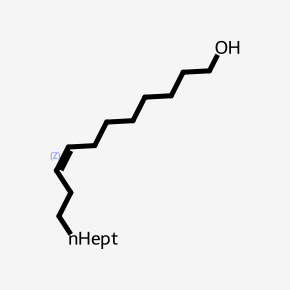 CCCCCCCCC/C=C\CCCCCCCO